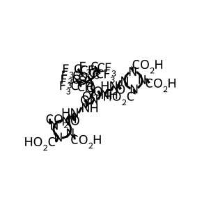 O=C(O)CN1CCN(CC(=O)O)CCN(CC(=O)NCCNC(=O)CN(CC(=O)NCCNC(=O)CN2CCN(CC(=O)O)CCN(CC(=O)O)CCN(CC(=O)O)CC2)C(=O)COCC(COC(C(F)(F)F)(C(F)(F)F)C(F)(F)F)(COC(C(F)(F)F)(C(F)(F)F)C(F)(F)F)COC(C(F)(F)F)(C(F)(F)F)C(F)(F)F)CCN(CC(=O)O)CC1